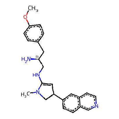 COc1ccc(C[C@H](N)CNC2=CC(c3ccc4cnccc4c3)CN2C)cc1